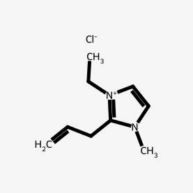 C=CCc1n(C)cc[n+]1CC.[Cl-]